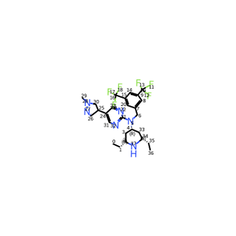 CC[C@@H]1C[C@H](N(Cc2cc(C(F)(F)F)cc(C(F)(F)F)c2)c2ncc(C3C=NN(C)C3)cn2)C[C@H](CC)N1